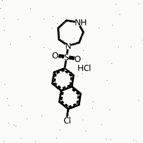 Cl.O=S(=O)(c1ccc2cc(Cl)ccc2c1)N1CCCNCC1